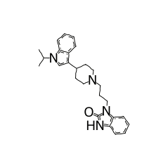 CC(C)n1cc(C2CCN(CCCn3c(=O)[nH]c4ccccc43)CC2)c2ccccc21